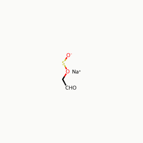 O=CCOS[O-].[Na+]